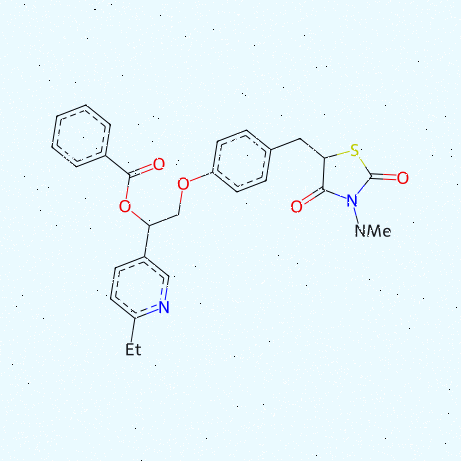 CCc1ccc(C(COc2ccc(CC3SC(=O)N(NC)C3=O)cc2)OC(=O)c2ccccc2)cn1